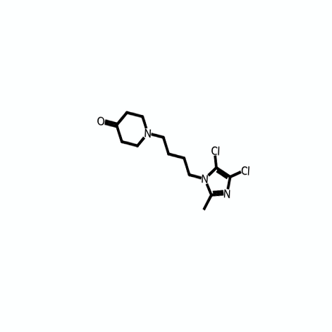 Cc1nc(Cl)c(Cl)n1CCCCN1CCC(=O)CC1